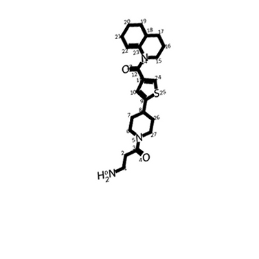 NCCC(=O)N1CCC(c2cc(C(=O)N3CCCC4CCCC=C43)cs2)CC1